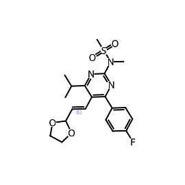 CC(C)c1nc(N(C)S(C)(=O)=O)nc(-c2ccc(F)cc2)c1/C=C/C1OCCO1